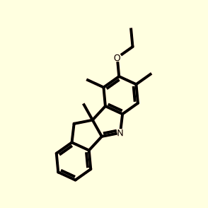 CCOc1c(C)cc2c(c1C)C1(C)Cc3ccccc3C1=N2